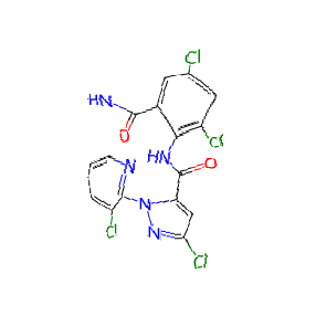 CNC(=O)c1cc(Cl)cc(Cl)c1NC(=O)c1cc(Cl)nn1-c1ncccc1Cl